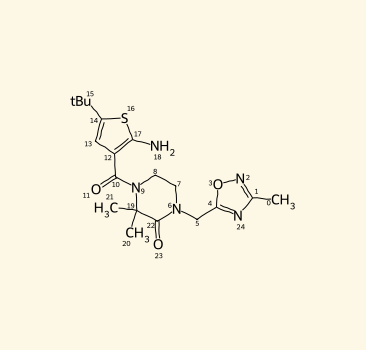 Cc1noc(CN2CCN(C(=O)c3cc(C(C)(C)C)sc3N)C(C)(C)C2=O)n1